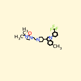 Cc1ccc2c(C3CCN(CCN4CCN(C(C)C)C4=O)CC3)cn(-c3cccc(C(F)(F)F)c3)c2c1